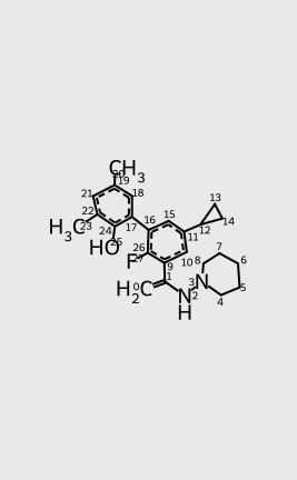 C=C(NN1CCCCC1)c1cc(C2CC2)cc(-c2cc(C)cc(C)c2O)c1F